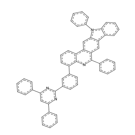 c1ccc(-c2cc(-c3ccccc3)nc(-c3cccc(-c4cccc5c4nc(-c4ccccc4)c4cc6c7ccccc7n(-c7ccccc7)c6cc45)c3)n2)cc1